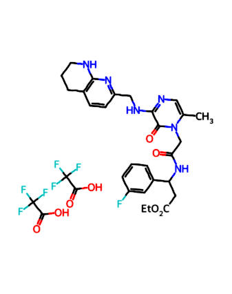 CCOC(=O)CC(NC(=O)Cn1c(C)cnc(NCc2ccc3c(n2)NCCC3)c1=O)c1cccc(F)c1.O=C(O)C(F)(F)F.O=C(O)C(F)(F)F